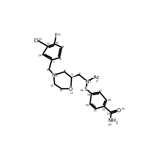 CC(=O)N(C[C@@H]1CN(Cc2ccc(F)c(Cl)c2)CCO1)Sc1ccc(C(N)=O)cc1